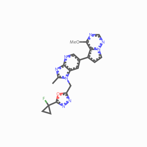 COc1ncnn2ccc(-c3cnc4nc(C)n(Cc5nnc(C6(F)CC6)o5)c4c3)c12